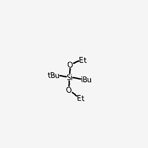 CCO[Si](OCC)(C(C)CC)C(C)(C)C